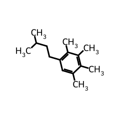 Cc1cc(CCC(C)C)c(C)c(C)c1C